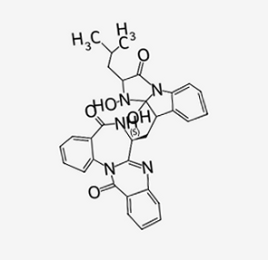 CC(C)CC1C(=O)N2c3ccccc3C(C[C@@H]3NC(=O)c4ccccc4-n4c3nc3ccccc3c4=O)C2(O)N1O